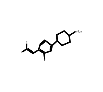 CCCCCCCCCC1CCC(c2ccc(C=C(F)F)c(F)c2)CC1